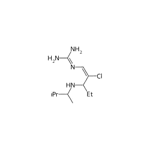 CCC(NC(C)C(C)C)/C(Cl)=C\N=C(N)N